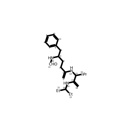 C=C(CCC(Cc1ccccc1)NC=O)NC(CCC)C(=C)NC(CC)CC